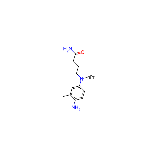 CCCN(CCCC(N)=O)c1ccc(N)c(C)c1